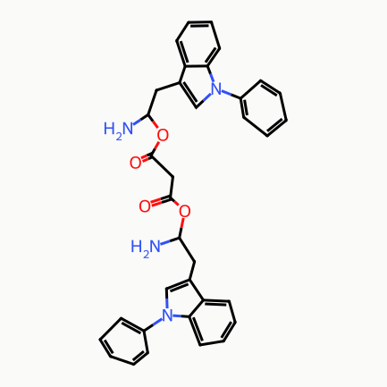 NC(Cc1cn(-c2ccccc2)c2ccccc12)OC(=O)CC(=O)OC(N)Cc1cn(-c2ccccc2)c2ccccc12